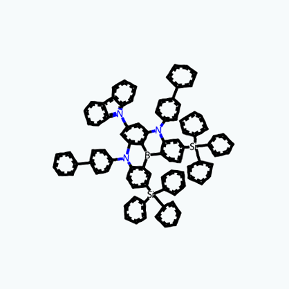 c1ccc(-c2ccc(N3c4ccc([Si](c5ccccc5)(c5ccccc5)c5ccccc5)cc4B4c5ccc([Si](c6ccccc6)(c6ccccc6)c6ccccc6)cc5N(c5ccc(-c6ccccc6)cc5)c5cc(-n6c7ccccc7c7ccccc76)cc3c54)cc2)cc1